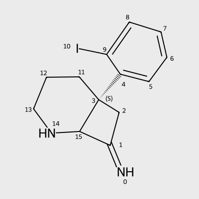 N=C1C[C@]2(c3ccccc3I)CCCNC12